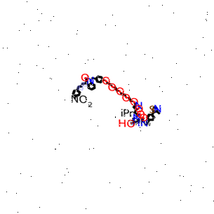 Cc1ncsc1-c1ccc([C@H](C)NC(=O)[C@@H]2C[C@@H](O)CN2C(=O)C(c2cc(OCCOCCOCCOCCOc3ccc(CN4C(=O)/C(=C/C=C/c5ccc([N+](=O)[O-])cc5)c5ccccc54)cc3)no2)C(C)C)cc1